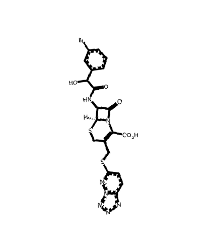 O=C(O)C1=C(CSc2ccc3nnnn3n2)CS[C@H]2C(NC(=O)C(O)c3cccc(Br)c3)C(=O)N12